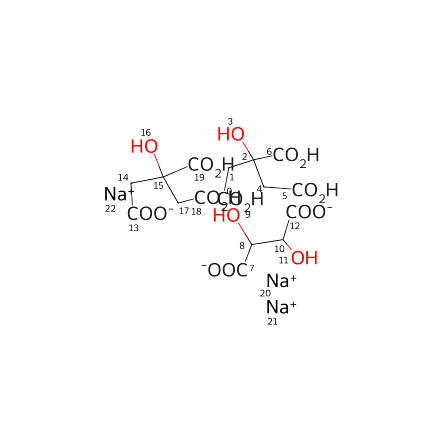 O=C(O)CC(O)(CC(=O)O)C(=O)O.O=C([O-])C(O)C(O)C(=O)[O-].O=C([O-])CC(O)(CC(=O)O)C(=O)O.[Na+].[Na+].[Na+]